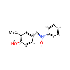 COc1cc(C=[N+]([O-])c2ccccc2)ccc1O